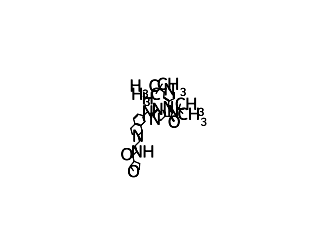 CC(C)n1c(=O)c2cnc(Nc3ccc4c(c3)CN(CCNC(=O)C3CCOC3)CC4)nc2n1-c1ccnc(C(C)(C)C)c1